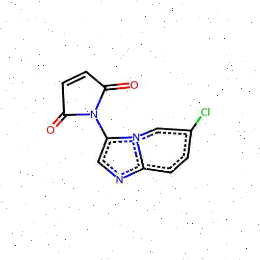 O=C1C=CC(=O)N1c1cnc2ccc(Cl)cn12